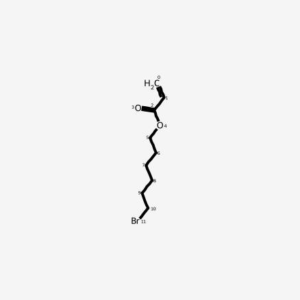 C=CC(=O)OCCCCCCBr